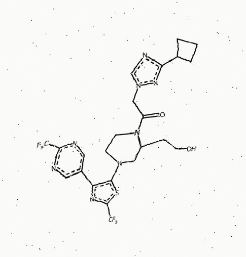 O=C(Cn1cnc(C2CCC2)n1)N1CCN(c2sc(C(F)(F)F)nc2-c2cnc(C(F)(F)F)nc2)CC1CCO